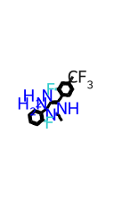 CC1=NC(N)(c2ccccc2F)C(N)=C(c2ccc(C(F)(F)F)cc2F)N1